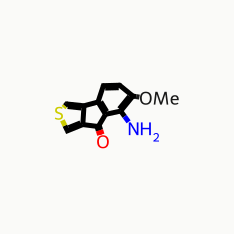 COc1ccc2c(c1N)C(=O)c1cscc1-2